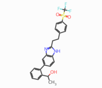 CC(O)c1ccccc1-c1ccc2[nH]c(CCc3ccc(S(=O)(=O)C(F)(F)F)cc3)nc2c1